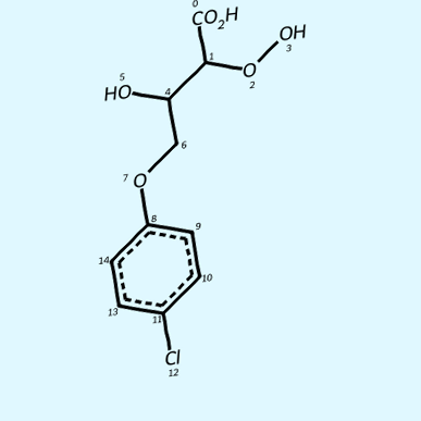 O=C(O)C(OO)C(O)COc1ccc(Cl)cc1